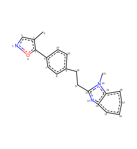 Cc1cnoc1-c1ccc(CCc2nc3ccccc3n2C)cc1